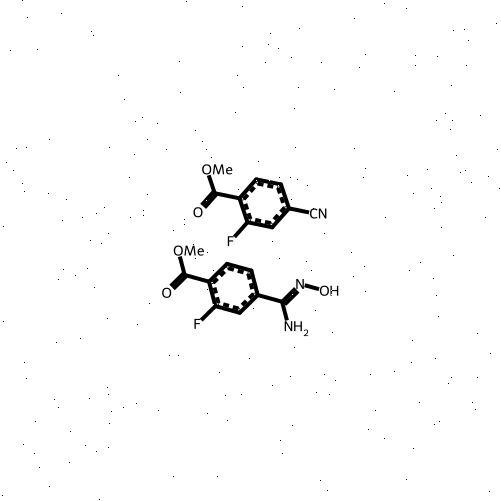 COC(=O)c1ccc(C#N)cc1F.COC(=O)c1ccc(C(N)=NO)cc1F